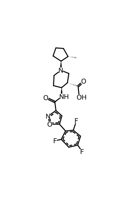 C[C@H]1CCC[C@@H]1N1CC[C@H](NC(=O)c2cc(-c3c(F)cc(F)cc3F)on2)[C@@H](C(=O)O)C1